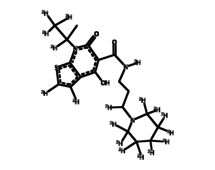 [2H]c1sc2c(c1[2H])c(O)c(C(=O)N([2H])CCC([2H])N1C([2H])([2H])C([2H])([2H])C([2H])([2H])C([2H])([2H])C1([2H])[2H])c(=O)n2C([2H])(C)C([2H])([2H])[2H]